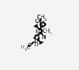 C=CC(=O)N1CCC=C(c2c(C3CC3)nc(N3CCN(C(=O)CCOC)C(C4CC4)C3)c(C#N)c2C)C1